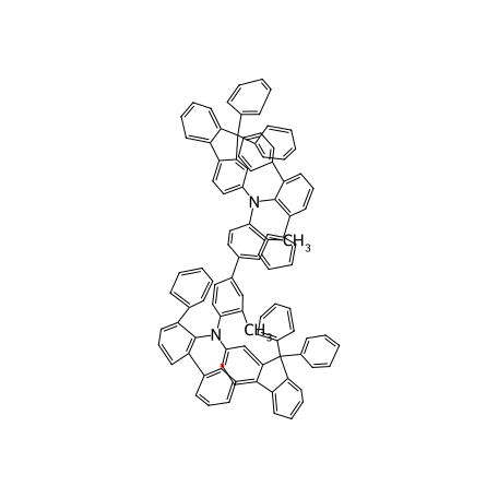 Cc1cc(-c2ccc(N(c3ccc4c(c3)C(c3ccccc3)(c3ccccc3)c3ccccc3-4)c3c(-c4ccccc4)cccc3-c3ccccc3)c(C)c2)ccc1N(c1ccc2c(c1)C(c1ccccc1)(c1ccccc1)c1ccccc1-2)c1c(-c2ccccc2)cccc1-c1ccccc1